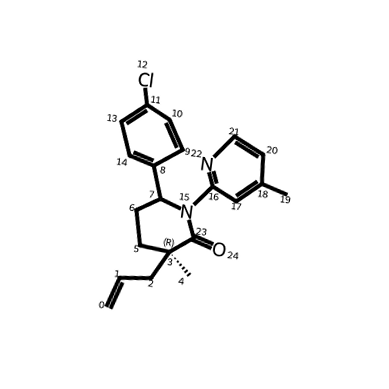 C=CC[C@@]1(C)CCC(c2ccc(Cl)cc2)N(c2cc(C)ccn2)C1=O